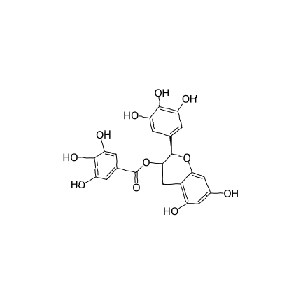 O=C(OC1Cc2c(O)cc(O)cc2O[C@@H]1c1cc(O)c(O)c(O)c1)c1cc(O)c(O)c(O)c1